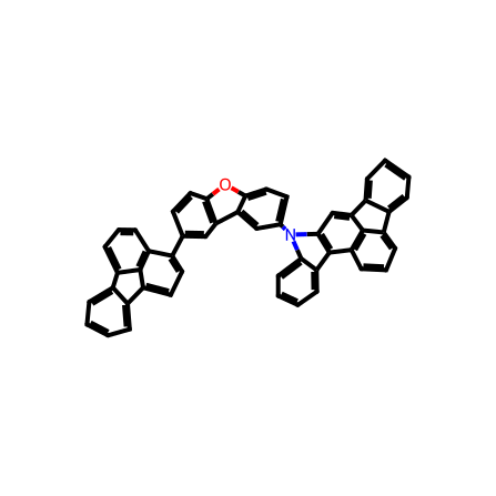 c1ccc2c(c1)-c1cccc3c(-c4ccc5oc6ccc(-n7c8ccccc8c8c9cccc%10c9c(cc87)-c7ccccc7-%10)cc6c5c4)ccc-2c13